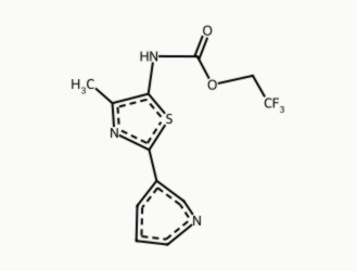 Cc1nc(-c2cccnc2)sc1NC(=O)OCC(F)(F)F